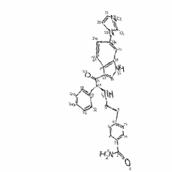 NC(=O)c1ccc(CCN[C@H](C(=O)c2c[nH]c3cc(-n4ccnc4)ccc23)c2ccccc2)cc1